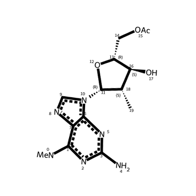 CNc1nc(N)nc2c1ncn2[C@@H]1O[C@H](COC(C)=O)[C@@H](O)[C@@H]1C